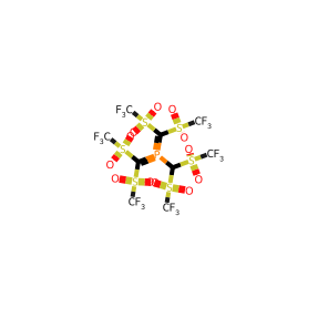 O=S(=O)(C(=P(=C(S(=O)(=O)C(F)(F)F)S(=O)(=O)C(F)(F)F)C(S(=O)(=O)C(F)(F)F)S(=O)(=O)C(F)(F)F)S(=O)(=O)C(F)(F)F)C(F)(F)F